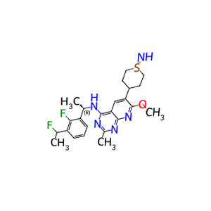 COc1nc2nc(C)nc(N[C@H](C)c3cccc(C(C)F)c3F)c2cc1C1CCS(=N)CC1